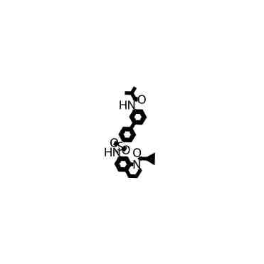 CC(C)C(=O)Nc1cccc(-c2ccc(S(=O)(=O)Nc3ccc4c(c3)N(C(=O)C3CC3)CCC4)cc2)c1